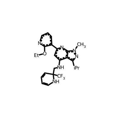 CCOc1ncccc1-c1cc(NCC2(C(F)(F)F)C=CC=CN2)c2c(C(C)C)nn(C)c2n1